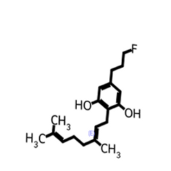 CC(C)=CCC/C(C)=C/Cc1c(O)cc(CCCF)cc1O